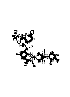 Cc1cc([C@@H](C)Nc2ccc(Cl)nc2C(=O)NS(C)(=O)=O)c2nc(N3C[C@@H]4C(n5ncc(F)c5C)[C@@H]4C3)n(C)c(=O)c2c1